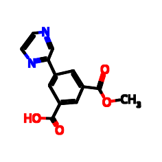 COC(=O)c1cc(C(=O)O)cc(-c2cnccn2)c1